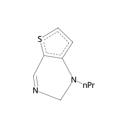 CCCN1CN=Cc2sccc21